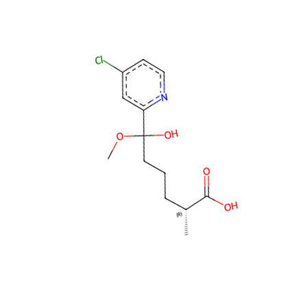 COC(O)(CCC[C@@H](C)C(=O)O)c1cc(Cl)ccn1